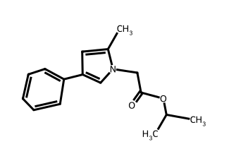 Cc1cc(-c2ccccc2)cn1CC(=O)OC(C)C